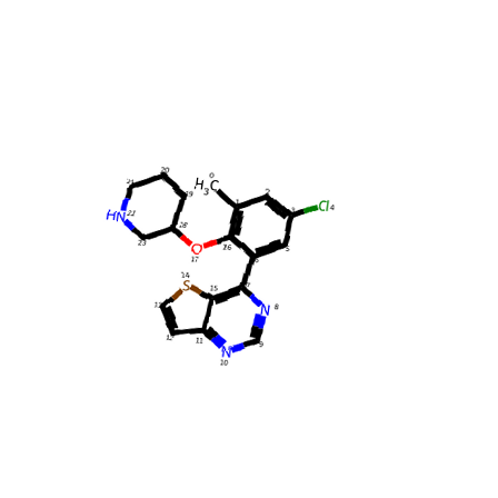 Cc1cc(Cl)cc(-c2ncnc3ccsc23)c1OC1CCCNC1